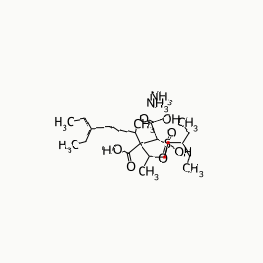 CCC(CC)CCC(C)C(C(=O)O)(C(C)CCC(CC)CC)C(C(=O)O)S(=O)(=O)O.N.N